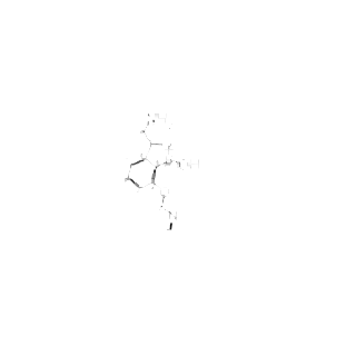 C=NCOc1cccc2c1B(O)OC2CN